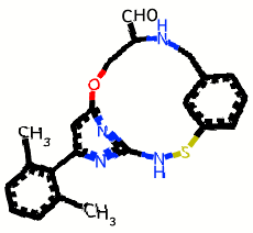 Cc1cccc(C)c1-c1cc2nc(n1)NSc1cccc(c1)CNC(C=O)CO2